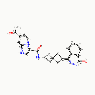 CC(=O)c1ccn2c(C(=O)N[C@H]3CC4(C3)C[C@H](c3n[nH]c(=O)c5ccccc53)C4)cnc2c1